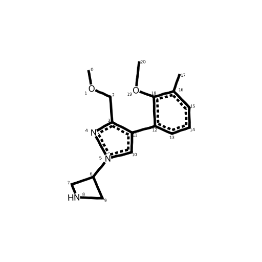 COCc1nn(C2CNC2)cc1-c1cccc(C)c1OC